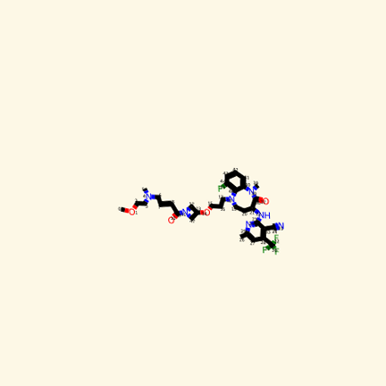 COCCN(C)CC=CC(=O)N1CC(OCCCN2CCC(Nc3nc(C)cc(C(F)(F)F)c3C#N)C(=O)N(C)c3cccc(F)c32)C1